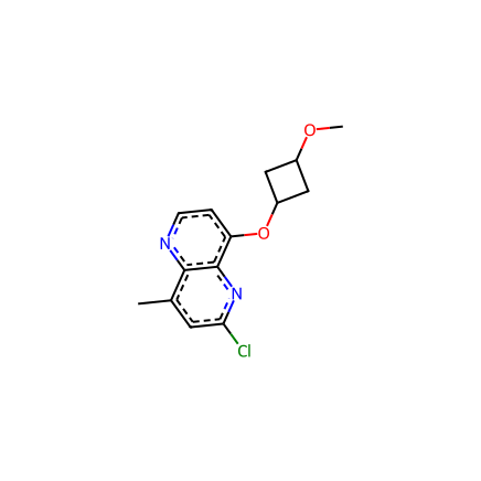 COC1CC(Oc2ccnc3c(C)cc(Cl)nc23)C1